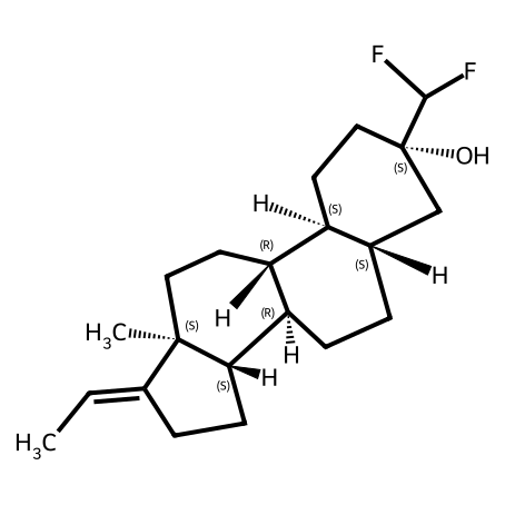 CC=C1CC[C@H]2[C@@H]3CC[C@H]4C[C@](O)(C(F)F)CC[C@@H]4[C@H]3CC[C@]12C